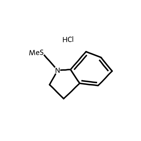 CSN1CCc2ccccc21.Cl